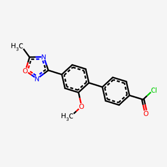 COc1cc(-c2noc(C)n2)ccc1-c1ccc(C(=O)Cl)cc1